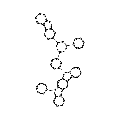 c1ccc(-c2cc(-c3ccc4c(c3)oc3ccccc34)nc(-c3cccc(-n4c5ccccc5c5cc6c7ccccc7n(-c7ccccc7)c6cc54)c3)n2)cc1